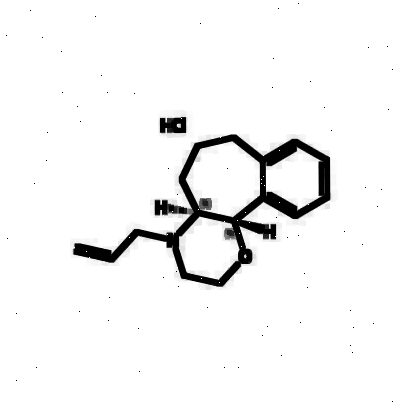 C=CCN1CCO[C@H]2c3ccccc3CCC[C@@H]21.Cl